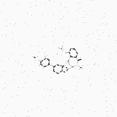 [2H]C([2H])([2H])N1C(=O)c2cccc(OC(F)F)c2[C@H]2C[C@@H]1c1nc3ccc(-c4cc(N)c(P(C)(C)=O)c(F)c4)cc3n12